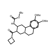 COc1cc2c(cc1OC)C1CC(NC(=O)OC(C)(C)C)C(C(=O)N3CCC3)CN1CC2